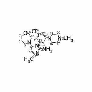 Cc1cc(N2CCCOC[C@@H]2c2ccc(N3CCN(C)CC3)cc2Cl)nc(N)n1